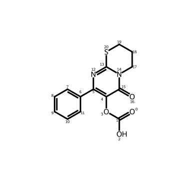 O=C(O)Oc1c(-c2ccccc2)nc2n(c1=O)CCCS2